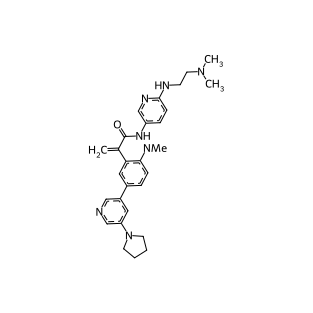 C=C(C(=O)Nc1ccc(NCCN(C)C)nc1)c1cc(-c2cncc(N3CCCC3)c2)ccc1NC